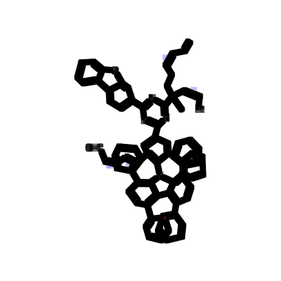 C=C/C=C\CCC(C)(/C=C\CC)c1nc(-c2cc(/C=C/C=C\C=O)c(-n3c4c(-c5ccccc5)ccc(C5=CC=CCC5)c4c4c(-c5ccccc5)ccc(-c5ccccc5)c43)c(-c3ccccc3)c2)nc(-c2ccc3c(c2)oc2ccccc23)n1